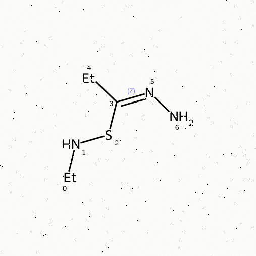 CCNS/C(CC)=N\N